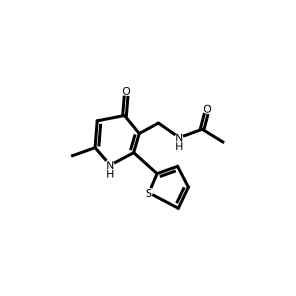 CC(=O)NCc1c(-c2cccs2)[nH]c(C)cc1=O